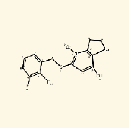 [O-][n+]1c(SCc2cccc(F)c2F)cc(O)c2c1CCC2